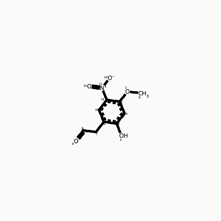 COc1cc(O)c(CC=O)cc1[N+](=O)[O-]